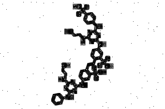 O=S(=O)(O)c1ccc(Nc2nc(NCCO)nc(Nc3ccc(C=Cc4ccc(Nc5nc(NCCO)nc(Nc6ccccc6)n5)cc4S(=O)(=O)O)c(S(=O)(=O)O)c3)n2)cc1